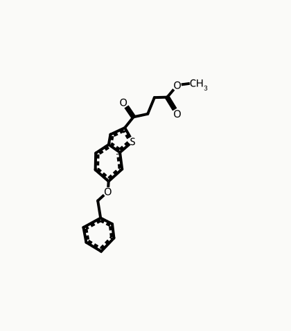 COC(=O)CCC(=O)c1cc2ccc(OCc3ccccc3)cc2s1